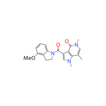 COc1cccc2c1CCN2C(=O)c1cn(C)c2c(C)cn(C)c(=O)c12